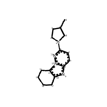 CC1CCN(c2ccc3nc4c(n3n2)CCCC4)C1